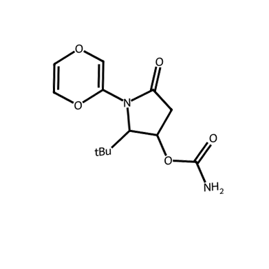 CC(C)(C)C1C(OC(N)=O)CC(=O)N1C1=COC=CO1